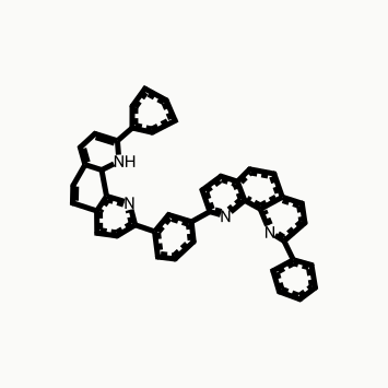 C1=Cc2ccc(-c3cccc(-c4ccc5ccc6ccc(-c7ccccc7)nc6c5n4)c3)nc2C2NC(c3ccccc3)=CC=C12